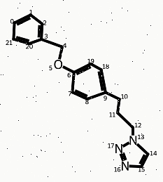 c1ccc(COc2ccc(CCCn3ccnn3)cc2)cc1